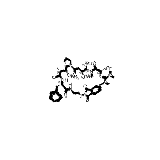 CC[C@H](C)[C@@H]([C@H](CC(=O)N1CCC[C@H]1[C@H](OC)[C@@H](C)C(=O)N[C@@H](Cc1ccccc1)C(=O)NCCON1C(=O)c2ccccc2C1=O)OC)N(C)C(=O)[C@@H](N=C(N(C)C)N(C)C)C(C)C